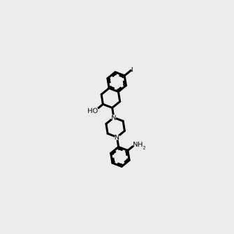 Nc1ccccc1N1CCN(C2Cc3cc(I)ccc3CC2O)CC1